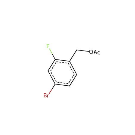 CC(=O)OCc1ccc(Br)cc1F